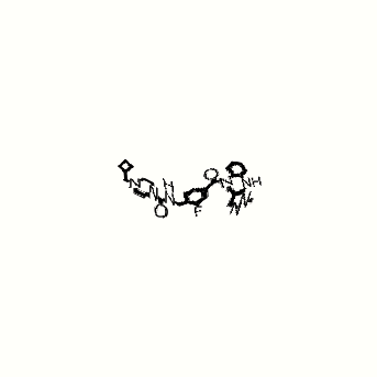 Cn1ncc2c1Nc1ccccc1N(C(=O)c1ccc(CNC(=O)N3CCN(CC4CCC4)CC3)c(F)c1)C2